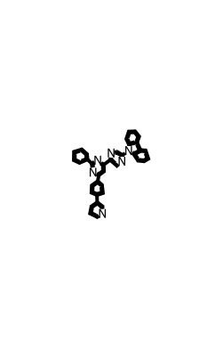 c1ccc(-c2nc(-c3ccc(-c4cccnc4)cc3)cc(-c3cnc(-n4c5ccccc5c5ccccc54)cn3)n2)cc1